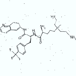 C[N+](CCN)(CCN)CCC[C@H](N)C(=O)N[C@@H](Cc1ccc(C(F)(F)F)cc1)C(=O)Nc1ccc2ncccc2c1